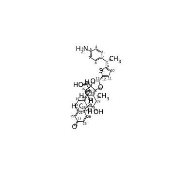 C[C@@H](c1ccc(N)cc1)c1ccc([C@@H]2O[C@@H]3C[C@H]4[C@@H]5CCC6=CC(=O)C=C[C@]6(C)[C@H]5[C@@H](O)C[C@]4(C)[C@]3(C(=O)CO)O2)s1